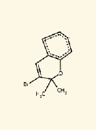 CC1(C)Oc2c[c]ccc2C=C1Br